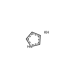 [KH].c1cc[nH]c1